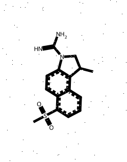 CC1CN(C(=N)N)c2ccc3c(S(C)(=O)=O)cccc3c21